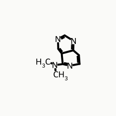 CN(C)c1nccc2ncncc12